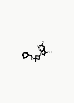 CC1(OCc2ccccc2)CC(n2cc(O)c3cc(Cl)nnc32)C1